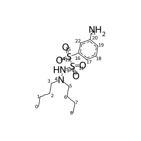 CCCCN(CCCC)NS(=O)(=O)S(=O)(=O)c1cccc(N)c1